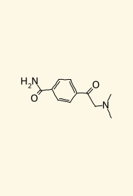 CN(C)CC(=O)c1ccc(C(N)=O)cc1